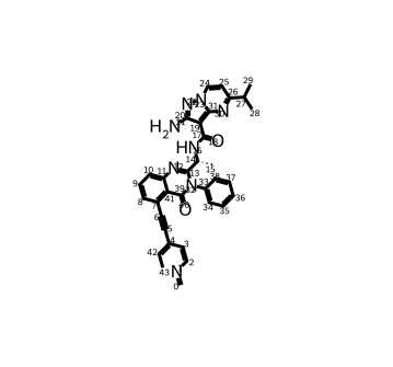 C=N/C=C\C(C#Cc1cccc2nc([C@@H](C)NC(=O)c3c(N)nn4ccc(C(C)C)nc34)n(-c3ccccc3)c(=O)c12)=C/C